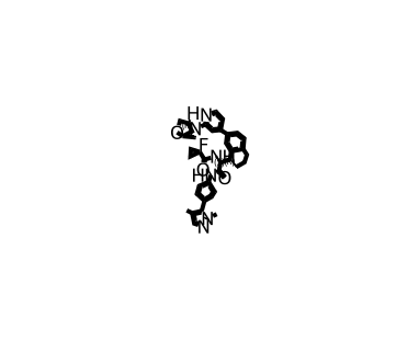 Cc1cnn(C)c1-c1ccc(NC(=O)[C@@H](NC(=O)C2(F)CC2)[C@@H]2CCCc3ccc(-c4ccnc(N5CC6C[C@@H]5CO6)c4)cc32)cc1